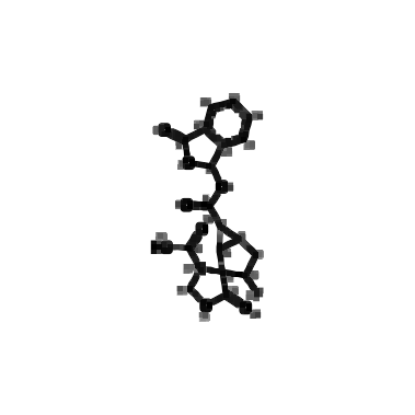 O=C1OC(OC(=O)C2C3CC(F)C4(C(=O)OCN4C(=O)O)C32)c2ccccc21